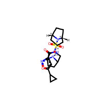 CCN1C2CCC1CN(S(=O)(=O)N1[C@@H]3CC[C@H]1C[C@@H](NC(=O)c1cc(C4CC4)on1)C3)C2